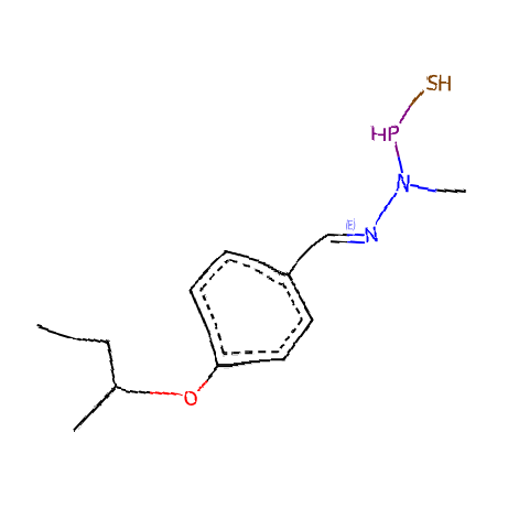 CCC(C)Oc1ccc(/C=N/N(C)PS)cc1